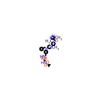 Cc1ncnc(C)c1C(=O)N1CCC(C)(N2CCC(N(Cc3ccccc3)c3ccc(CNS(=O)(=O)CCNS(=O)(=O)C4CC4)cc3)CC2)CC1